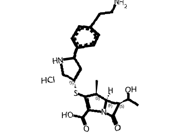 CC(O)[C@H]1C(=O)N2C(C(=O)O)=C(S[C@@H]3CNC(c4ccc(CCN)cc4)C3)[C@@H](C)[C@@H]12.Cl